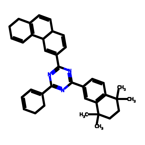 CC1(C)CCC(C)(C)c2cc(-c3nc(C4=CC5C6=C(C=CC5C=C4)CCC=C6)nc(C4=CC=CCC4)n3)ccc21